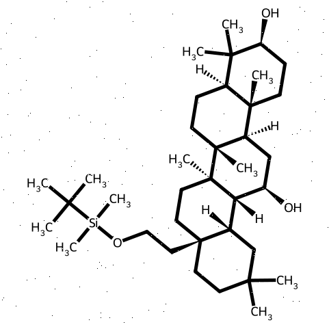 CC1(C)CC[C@]2(CCO[Si](C)(C)C(C)(C)C)CC[C@]3(C)[C@H]([C@H](O)C[C@@H]4[C@@]5(C)CC[C@H](O)C(C)(C)[C@@H]5CC[C@]43C)[C@@H]2C1